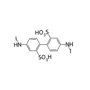 O=S(=O)(O)c1cc(NI)ccc1-c1ccc(NI)cc1S(=O)(=O)O